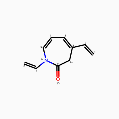 C=CC1=CC=CN(C=C)C(=O)C1